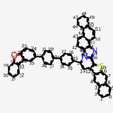 c1ccc2cc3c(cc2c1)sc1c3cc(-c2ccc(-c3ccc(-c4ccc5oc6ccccc6c5c4)cc3)cc2)n2c3ccc4c5ccccc5ccc4c3nc12